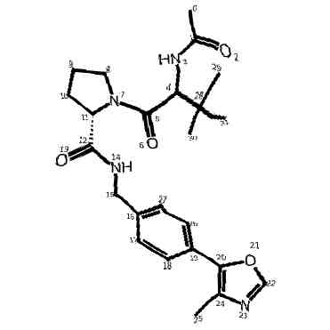 CC(=O)NC(C(=O)N1CCC[C@H]1C(=O)NCc1ccc(-c2ocnc2C)cc1)C(C)(C)C